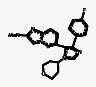 CNc1cn2nc(-c3c(-c4ccc(F)cc4)ncn3C3CCOCC3)ccc2n1